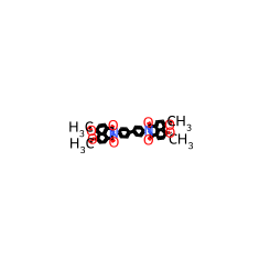 COc1ccc2c3c(ccc(OC)c13)C(=O)N(c1ccc(-c3ccc(N4C(=O)c5ccc(OC)c6c(OC)ccc(c56)C4=O)cc3)cc1)C2=O